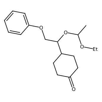 CCOC(C)OC(COc1ccccc1)C1CCC(=O)CC1